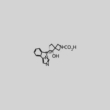 O=C(O)N1CC2(CC[C@@H]([C@@H]3c4ccccc4-c4cncn43)[C@H]2O)C1